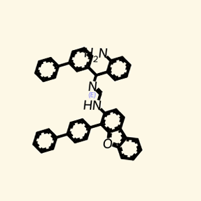 Nc1ccccc1C(/N=C/Nc1ccc2c(oc3ccccc32)c1-c1ccc(-c2ccccc2)cc1)c1cccc(-c2ccccc2)c1